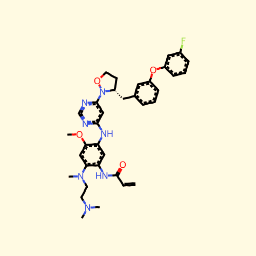 C=CC(=O)Nc1cc(Nc2cc(N3OCC[C@@H]3Cc3cccc(Oc4cccc(F)c4)c3)ncn2)c(OC)cc1N(C)CCN(C)C